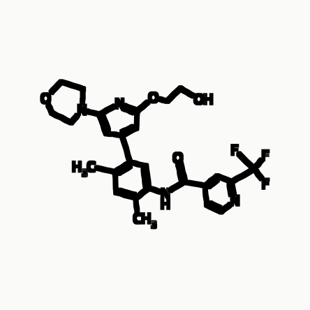 Cc1cc(C)c(-c2cc(OCCO)nc(N3CCOCC3)c2)cc1NC(=O)c1ccnc(C(F)(F)F)c1